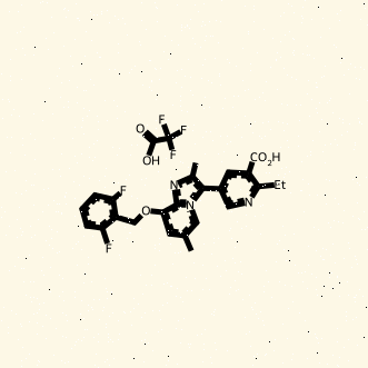 CCc1ncc(-c2c(C)nc3c(OCc4c(F)cccc4F)cc(C)cn23)cc1C(=O)O.O=C(O)C(F)(F)F